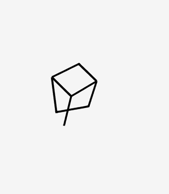 CC1C2CCC1C2